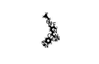 Fc1cnc(C(Oc2ccc3ncsc3c2)c2nnco2)cc1/C=N/OCC1CC1